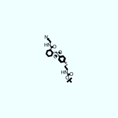 CC(C)(C)OC(=O)NCCSc1ccc(S(=O)(=O)C[C@@H]2CCCC[C@H]2C(=O)NCC#N)cc1